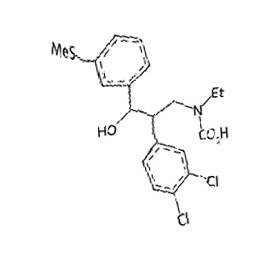 CCN(CC(c1ccc(Cl)c(Cl)c1)C(O)c1cccc(SC)c1)C(=O)O